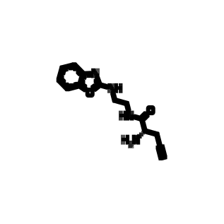 C#CC[C@H](N)C(=O)NCCNc1nc2ccccc2o1